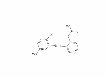 CSc1ncc(C(F)(F)F)c(C#Cc2ccccc2CC(N)=O)n1